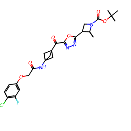 CC1C(c2nnc(C(=O)C34CC(NC(=O)COc5ccc(Cl)c(F)c5)(C3)C4)o2)CN1C(=O)OC(C)(C)C